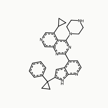 c1ccc(C2(c3cc4c(-c5nc(N6CCNCC6)c6c(C7CC7)cncc6n5)ccnc4[nH]3)CC2)cc1